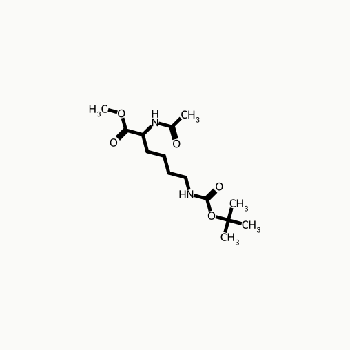 COC(=O)C(CCCCNC(=O)OC(C)(C)C)NC(C)=O